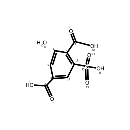 O.O=C(O)c1ccc(C(=O)O)c(S(=O)(=O)O)c1